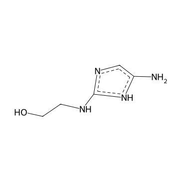 Nc1cnc(NCCO)[nH]1